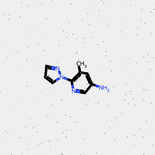 Cc1cc(N)cnc1-n1cccn1